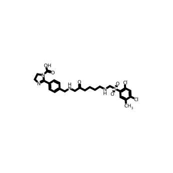 Cc1cc(S(=O)(=O)CNCCCCC(=O)CNCc2ccc(C3=NCCN3C(=O)O)cc2)c(Cl)cc1Cl